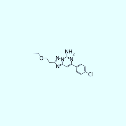 CCOCCc1nc2cc(-c3ccc(Cl)cc3)nc(N)n2n1